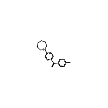 C=C(c1ccc(C)cc1)c1ccc(N2CCCCCC2)cc1